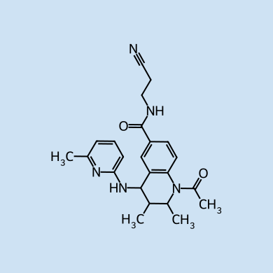 CC(=O)N1c2ccc(C(=O)NCCC#N)cc2C(Nc2cccc(C)n2)C(C)C1C